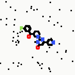 Cn1c(N2CCCC(C(=O)c3cccc(F)c3)C2)nc(-c2ccncc2)cc1=O